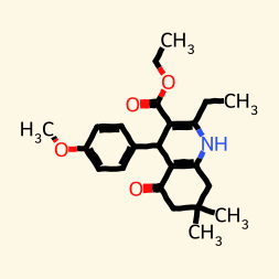 CCOC(=O)C1=C(CC)NC2=C(C(=O)CC(C)(C)C2)C1c1ccc(OC)cc1